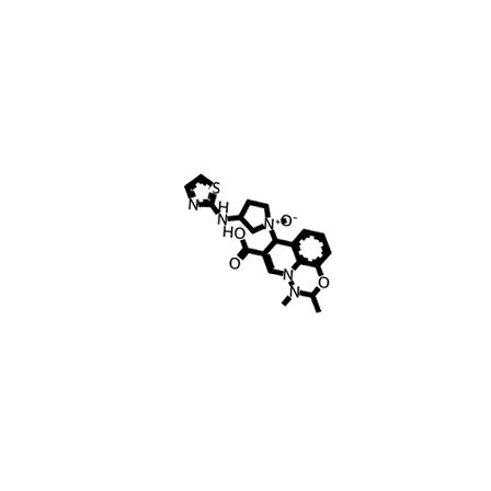 CC1Oc2cccc3c2N(C=C(C(=O)O)C3[N+]2([O-])CCC(Nc3nccs3)C2)N1C